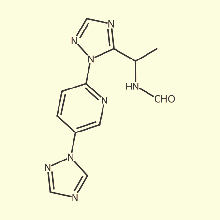 CC(NC=O)c1ncnn1-c1ccc(-n2cncn2)cn1